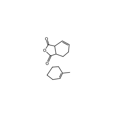 CC1=CCCCC1.O=C1OC(=O)C2CCC=CC12